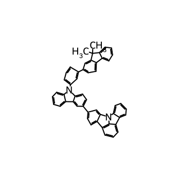 CC1(C)c2ccccc2-c2ccc(-c3cccc(-n4c5ccccc5c5cc(-c6ccc7c8cccc9c%10ccccc%10n(c7c6)c98)ccc54)c3)cc21